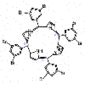 Brc1cc(Br)cc(/C2=C3\C=CC(N3)/C(c3cc(Br)cc(Br)c3)=c3/cc/c([nH]3)=C(\c3cc(Br)cc(Br)c3)C3C=C/C(=C(\c4cc(Br)cc(Br)c4)c4ccc2[nH]4)N3)c1